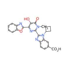 Cn1c(-c2nc3ccc(C(=O)O)cc3n2C2CCC2)nc(-c2nc3ccccc3o2)c(O)c1=O